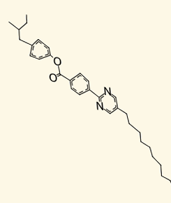 CCCCCCCCCCCCc1cnc(-c2ccc(C(=O)Oc3ccc(CC(C)CC)cc3)cc2)nc1